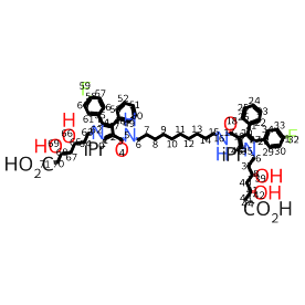 CC(C)c1c(C(=O)NCCCCCCCCCCNC(=O)c2c(-c3ccccc3)c(-c3ccc(F)cc3)n(CCC(O)CC(O)CC(=O)O)c2C(C)C)c(-c2ccccc2)c(-c2ccc(F)cc2)n1CCC(O)CC(O)CC(=O)O